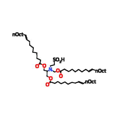 CCCCCCCCC=CCCCCCCCC(=O)OCC(COC(=O)CCCCCCCC=CCCCCCCCC)N(CCS(=O)(=O)O)COC(=O)CCCCCCCC=CCCCCCCCC